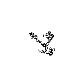 COC(=O)c1cccc(CN(CCO)CCOC2CC(CSCCOCCNC(=O)OC(C)(C)C)CC2OCCN(CCO)Cc2cccc(C(=O)OC)n2)n1